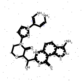 N/C=C\C(=C/N)n1ccc(N2CCOC(C(O)c3nc(=O)c4c(ccc5c(N)nsc54)[nH]3)C2=O)n1